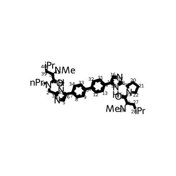 CCCN(Cc1ncc(-c2ccc(-c3ccc(-c4cnc([C@@H]5CCCN5C(=O)[C@H](CC(C)C)NC)[nH]4)cc3)cc2)[nH]1)C(=O)[C@H](CC(C)C)NC